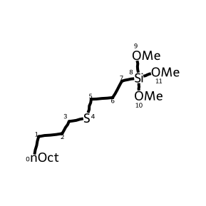 [CH2]CCCCCCCCCCSCCC[Si](OC)(OC)OC